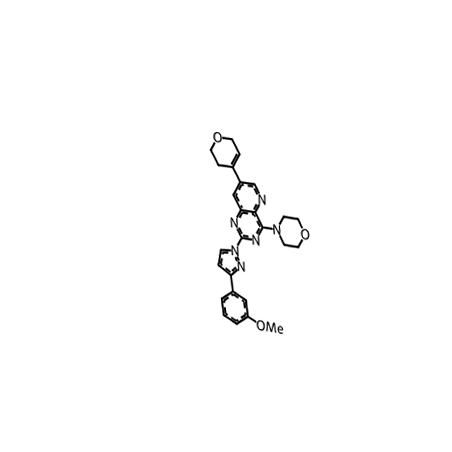 COc1cccc(-c2ccn(-c3nc(N4CCOCC4)c4ncc(C5=CCOCC5)cc4n3)n2)c1